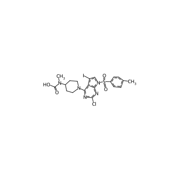 Cc1ccc(S(=O)(=O)n2cc(I)c3c(N4CCC(N(C)C(=O)O)CC4)nc(Cl)nc32)cc1